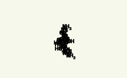 Nc1ccn([C@H]2C[C@@H](OP(=O)(O)OC[C@H]3O[C@@H](n4cnc5c(N)ncnc54)[C@H](O)[C@H]3O)[C@@H](COP(=O)(O)O)O2)c(=O)n1